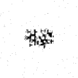 [2H]c1c([2H])n([C@@H]2O[C@H](C3(O)CC3)C(O)[C@]2(F)C(F)(F)F)c(=O)[nH]c1=O